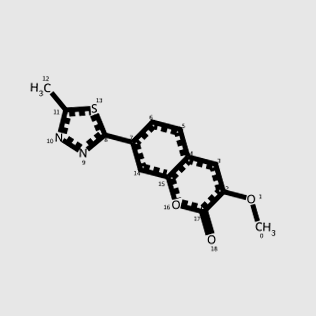 COc1cc2ccc(-c3nnc(C)s3)cc2oc1=O